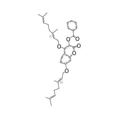 CC(C)=CCC/C(C)=C/COc1ccc2c(OC/C=C(\C)CCC=C(C)C)c(OC(=O)c3ccccc3)c(=O)oc2c1